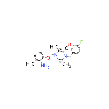 Cc1cccc(OCN2C[C@@H](C)N(Cc3ccc(F)cc3)C(=C=O)[C@@H]2C)c1N